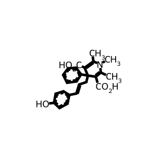 CC1=C(C(=O)O)C(C/C=C/c2ccc(O)cc2)(c2ccccc2)C(C(=O)O)=C(C)N1C